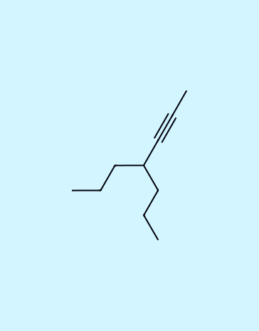 CC#CC(CCC)CCC